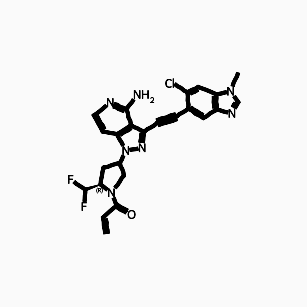 C=CC(=O)N1CC(n2nc(C#Cc3cc4ncn(C)c4cc3Cl)c3c(N)nccc32)C[C@@H]1C(F)F